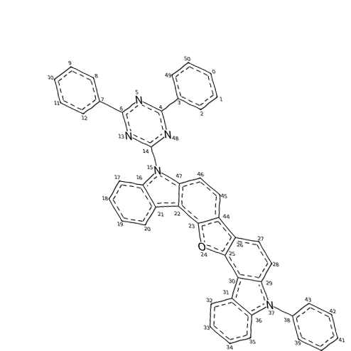 c1ccc(-c2nc(-c3ccccc3)nc(-n3c4ccccc4c4c5oc6c(ccc7c6c6ccccc6n7-c6ccccc6)c5ccc43)n2)cc1